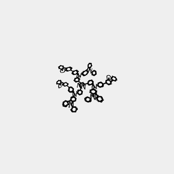 c1ccc(-n2c3ccccc3c3cc(N(c4ccc(-c5ccc6c(c5)oc5ccccc56)cc4)c4cccc(-c5cc(-c6cccc(N(c7ccc(-c8ccc9c(c8)oc8ccccc89)cc7)c7ccc8c(c7)c7ccccc7n8-c7ccccc7)c6)nc(-c6cccc(N(c7ccc(-c8ccc9c(c8)oc8ccccc89)cc7)c7ccc8c(c7)c7ccccc7n8-c7ccccc7)c6)n5)c4)ccc32)cc1